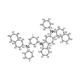 c1ccc(N(c2cccc(-n3c4ccccc4c4cc5c6c7ccccc7ccc6n(-c6ccccc6)c5cc43)c2)c2ccc3ccccc3c2)cc1